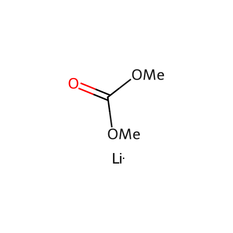 COC(=O)OC.[Li]